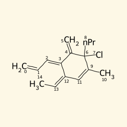 C=C/C=C1/C(=C)C(Cl)(CCC)C(C)=C/C1=C/C